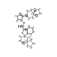 c1ccc(C2(CCNCc3ccsc3N3CCC4(CC3)OCCO4)CCOC3(CCCC3)C2)nc1